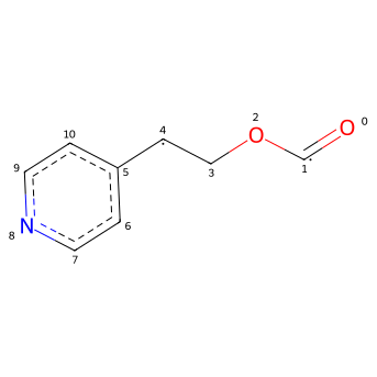 O=[C]OC[CH]c1ccncc1